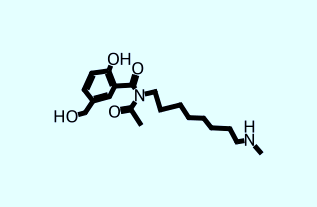 CNCCCCCCCCN(C(C)=O)C(=O)c1cc(CO)ccc1O